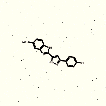 COc1ccc2[nH]c(-c3cc(-c4ccc(Cl)cc4)n[nH]3)nc2c1